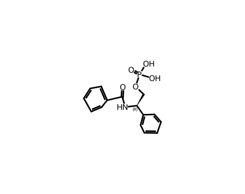 O=C(N[C@@H](COP(=O)(O)O)c1ccccc1)c1ccccc1